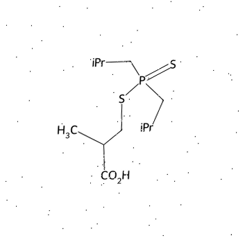 CC(C)CP(=S)(CC(C)C)SCC(C)C(=O)O